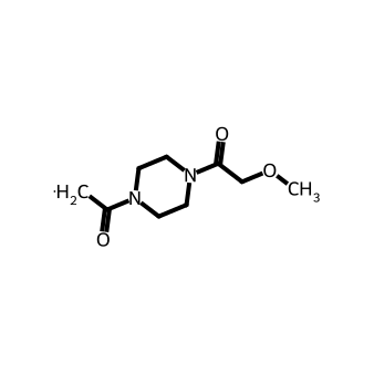 [CH2]C(=O)N1CCN(C(=O)COC)CC1